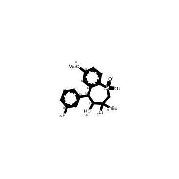 CCCCC1(CC)CS(=O)(=O)c2ccc(OC)cc2C(c2cccc(F)c2)C1O